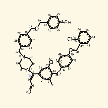 Cc1cc(/C(=C\C=O)N2CCN(Cc3ccc(COCc4ccc(F)cc4)cc3)CC2)cc(Cl)c1Oc1ccc(OCc2ccccc2Cl)cn1